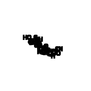 CN(C[C@@]1(C)CC[C@]2(C)CC[C@@]3(C)[C@]4(C)CC[C@H]5CC(=O)C(C#N)=C[C@]5(C)C4=CC(=O)[C@]3(O)[C@@H]2C1)C(=O)C(NC(=O)O)c1ccccc1